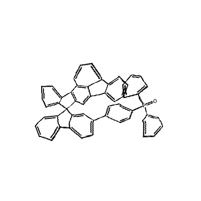 O=P(c1ccccc1)(c1ccccc1)c1ccc(-c2ccc3c(c2)C2(c4ccccc4-3)c3ccccc3-c3c2cc2c4c(cccc34)-c3ccccc3-2)cc1